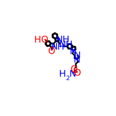 NC(=O)OCCCn1cnc(Cn2ccc3ccc(CNCc4[nH]c5ccccc5c4C4NC(=O)c5ccc(O)cc54)cc32)c1